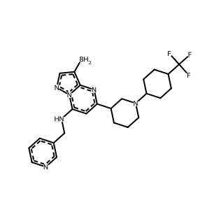 Bc1cnn2c(NCc3cccnc3)cc(C3CCCN(C4CCC(C(F)(F)F)CC4)C3)nc12